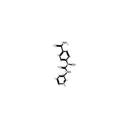 NC(=O)c1ccc(N(S)C(=O)Nc2cccnc2)cc1